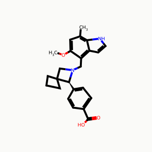 COc1cc(C)c2[nH]ccc2c1CN1CC2(CCC2)[C@@H]1c1ccc(C(=O)O)cc1